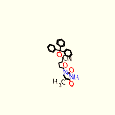 Cc1cn([C@H]2CC[C@@H](C(C#N)OC(c3ccccc3)(c3ccccc3)c3ccccc3)O2)c(=O)[nH]c1=O